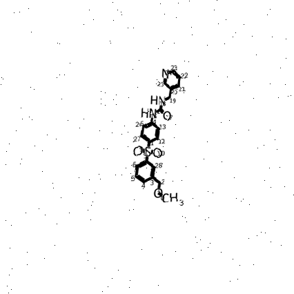 COCc1cccc(S(=O)(=O)c2ccc(NC(=O)NCc3cccnc3)cc2)c1